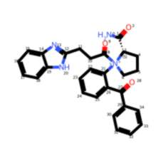 NC(=O)[C@@H]1CCC[N+]1(C(=O)CCc1nc2ccccc2[nH]1)c1ccccc1C(=O)c1ccccc1